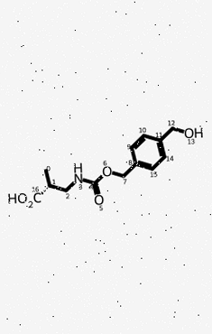 C[C@H](CNC(=O)OCc1ccc(CO)cc1)C(=O)O